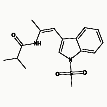 C/C(=C/c1cn(S(C)(=O)=O)c2ccccc12)NC(=O)C(C)C